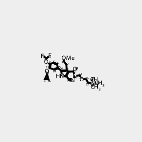 COCCc1c(-c2ccc(OC(F)F)c(OC3CC3)c2)[nH]c2cnn(COCC[Si](C)(C)C)c(=O)c12